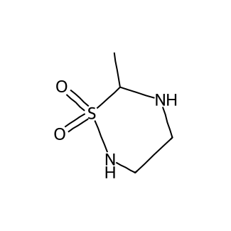 CC1NCCNS1(=O)=O